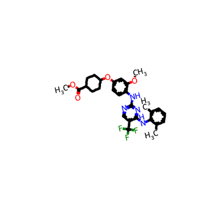 COC(=O)C1CCC(Oc2ccc(Nc3ncc(C(F)(F)F)c(Nc4c(C)cccc4C)n3)c(OC)c2)CC1